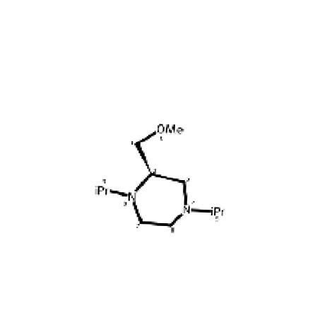 COC[C@H]1CN(C(C)C)CCN1C(C)C